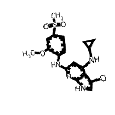 COc1cc(S(C)(=O)=O)ccc1Nc1cc(NC2CC2)c2c(Cl)c[nH]c2n1